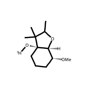 [3H]O[C@@]12CCC[C@@H](OC)[C@@H]1OC(C)C2(C)C